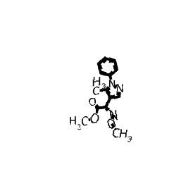 CON=C(C(=O)OC)c1cnn(-c2ccccc2)c1C